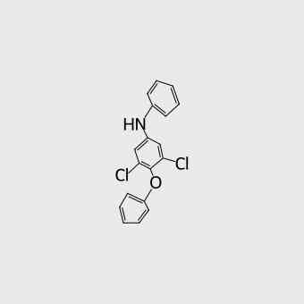 Clc1cc(Nc2ccccc2)cc(Cl)c1Oc1ccccc1